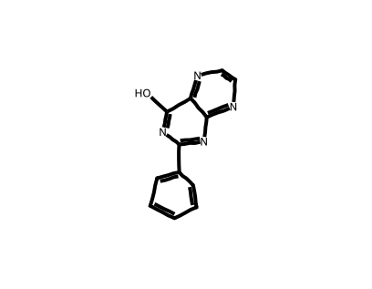 Oc1nc(-c2ccccc2)nc2nccnc12